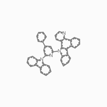 c1ccc(-c2cc(-n3c4ccccc4c4ccccc43)nc(-n3c4ccccc4c4c5ccccc5c5ncccc5c43)c2)cc1